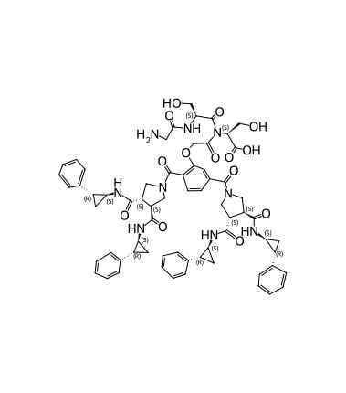 NCC(=O)N[C@@H](CO)C(=O)N(C(=O)COc1cc(C(=O)N2C[C@@H](C(=O)N[C@H]3C[C@@H]3c3ccccc3)[C@H](C(=O)N[C@H]3C[C@@H]3c3ccccc3)C2)ccc1C(=O)N1C[C@@H](C(=O)N[C@H]2C[C@@H]2c2ccccc2)[C@H](C(=O)N[C@H]2C[C@@H]2c2ccccc2)C1)[C@@H](CO)C(=O)O